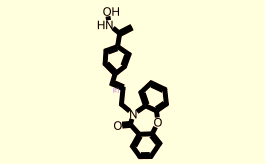 C=C(NO)c1ccc(/C=C/CN2C(=O)c3ccccc3Oc3ccccc32)cc1